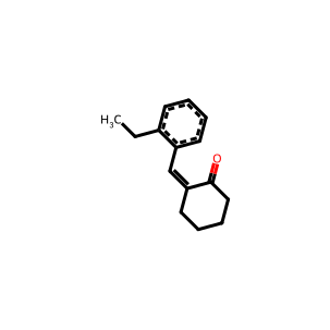 CCc1ccccc1/C=C1/CCCCC1=O